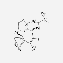 C[S+]([O-])C1=NN2CCCC3=C2C(=N1)C(F)=C(Cl)C1=NOC[C@@H]13